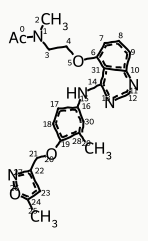 CC(=O)N(C)CCOc1cccc2ncnc(Nc3ccc(OCc4cc(C)on4)c(C)c3)c12